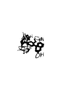 Cc1cc2c(O[C@@H](C)[C@@H]3CCCN3C)nc3c(F)c(-c4cc(O)cc5ccc(F)cc45)c(CCC#N)cc3c2n1[C@H]1[C@H]2CN[C@@H]1C2